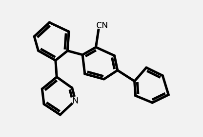 N#Cc1cc(-c2ccccc2)ccc1-c1ccccc1-c1cccnc1